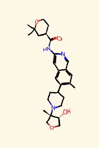 Cc1cc2cnc(NC(=O)[C@@H]3CCOC(C)(C)C3)cc2cc1C1CCN([C@@]2(C)COC[C@H]2O)CC1